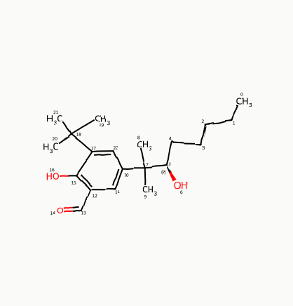 CCCCC[C@@H](O)C(C)(C)c1cc(C=O)c(O)c(C(C)(C)C)c1